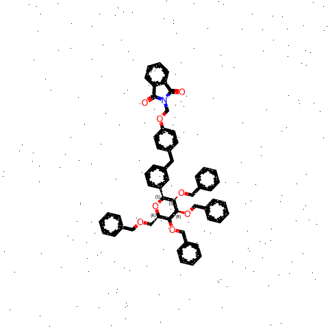 O=C1c2ccccc2C(=O)N1COc1ccc(Cc2cccc([C@@H]3O[C@H](COCc4ccccc4)C(OCc4ccccc4)[C@H](OCc4ccccc4)[C@H]3OCc3ccccc3)c2)cc1